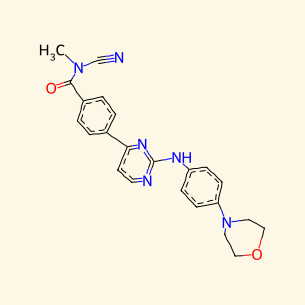 CN(C#N)C(=O)c1ccc(-c2ccnc(Nc3ccc(N4CCOCC4)cc3)n2)cc1